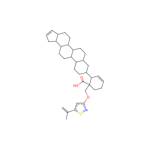 C=C(C)c1cc(OCC2(C(=O)O)CCC=CC2C2CCC3C(CCC4C3CCC3C5CC=CC5CCC34)C2)ns1